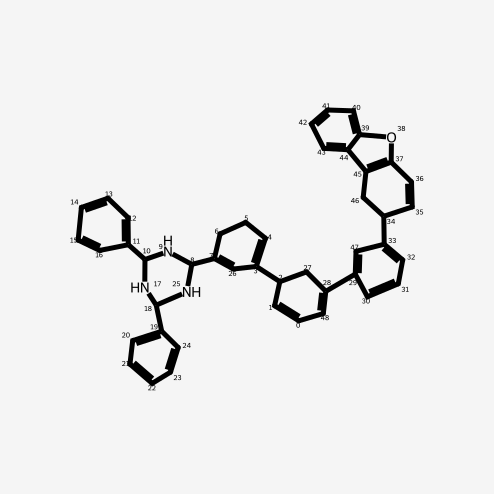 C1=CC(C2=CCCC(C3NC(c4ccccc4)NC(c4ccccc4)N3)=C2)CC(c2cccc(C3C=Cc4oc5ccccc5c4C3)c2)=C1